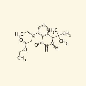 [2H]N1NC(=O)c2c(cccc2[C@H](CC)CC(=O)OCC)C1C(C)(C)C